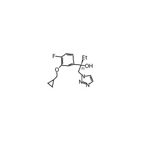 CC[C@@](O)(Cn1ccnn1)c1ccc(F)c(OCC2CC2)c1